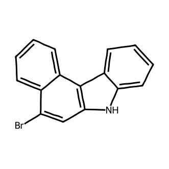 Brc1cc2[nH]c3ccccc3c2c2ccccc12